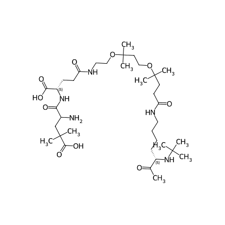 CC(=O)[C@H](CCCCNC(=O)CCC(C)(C)OCCC(C)(C)OCCNC(=O)CC[C@H](NC(=O)C(N)CC(C)(C)C(=O)O)C(=O)O)NC(C)(C)C